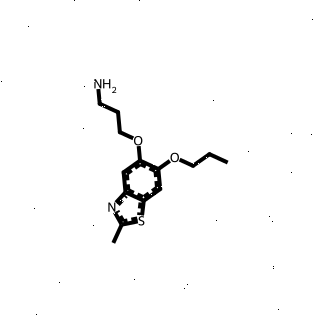 CCCOc1cc2sc(C)nc2cc1OCCCN